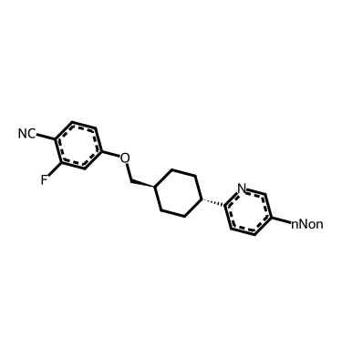 CCCCCCCCCc1ccc([C@H]2CC[C@H](COc3ccc(C#N)c(F)c3)CC2)nc1